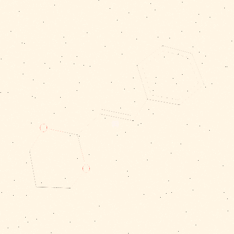 C(=C\C1OCCCO1)/c1ccccc1